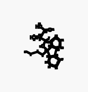 CCCCC1(OC(C)[C@H](N)C(=O)O)c2ccccc2-c2ccccc21